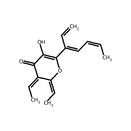 C=C/C(=C\C=C/C)c1oc(=C/C)/c(=C\C)c(=O)c1O